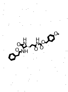 COc1ccc(COC(=O)NC(=O)CC[C@H]2NC(=O)[C@H]2NC(=O)Cc2ccccc2)cc1